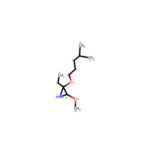 CCC1(OCCCC(C)C)NC1OC